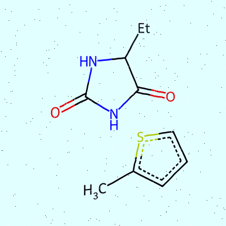 CCC1NC(=O)NC1=O.Cc1cccs1